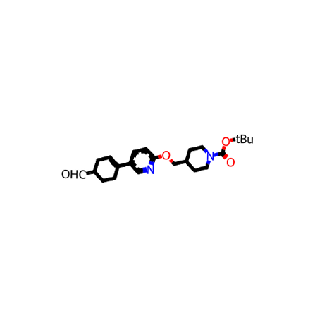 CC(C)(C)OC(=O)N1CCC(COc2ccc(C3=CCC(C=O)CC3)cn2)CC1